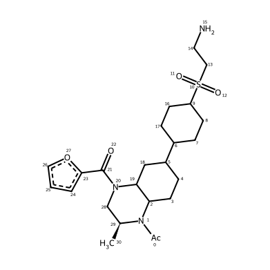 CC(=O)N1C2CCC(C3CCC(S(=O)(=O)CCN)CC3)CC2N(C(=O)c2ccco2)C[C@@H]1C